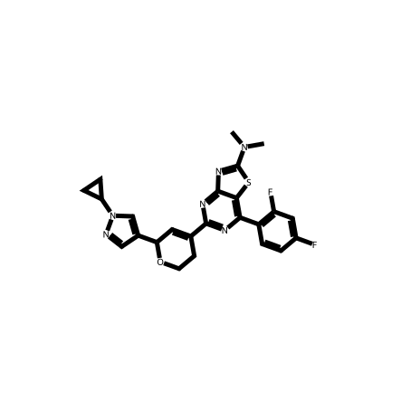 CN(C)c1nc2nc(C3=CC(c4cnn(C5CC5)c4)OCC3)nc(-c3ccc(F)cc3F)c2s1